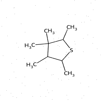 CC1SC(C)C(C)(C)C1C